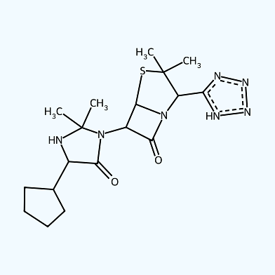 CC1(C)SC2C(N3C(=O)C(C4CCCC4)NC3(C)C)C(=O)N2C1c1nnn[nH]1